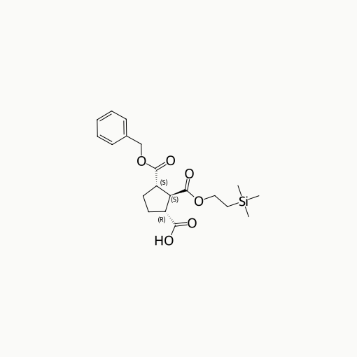 C[Si](C)(C)CCOC(=O)[C@@H]1[C@@H](C(=O)OCc2ccccc2)CC[C@H]1C(=O)O